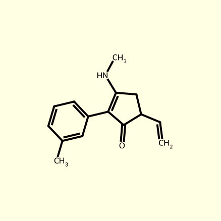 C=CC1CC(NC)=C(c2cccc(C)c2)C1=O